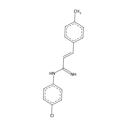 Cc1ccc(/C=C/C(=N)Nc2ccc(Cl)cc2)cc1